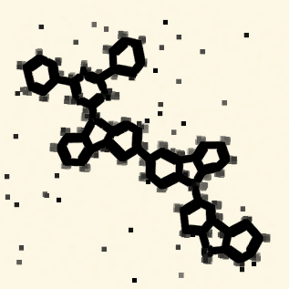 c1ccc(-c2nc(-c3ccccc3)nc(-n3c4ccccc4c4cc(-c5ccc6c(c5)c5ccccc5n6-c5ccc6oc7ccccc7c6c5)ccc43)n2)cc1